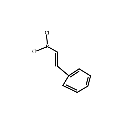 ClB(Cl)C=Cc1ccccc1